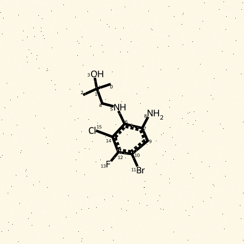 CC(C)(O)CNc1c(N)cc(Br)c(F)c1Cl